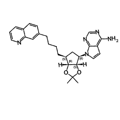 CC1(C)O[C@@H]2[C@@H](CCCCc3ccc4cccnc4c3)C[C@@H](n3ccc4c(N)ncnc43)[C@@H]2O1